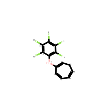 Fc1c(F)c(F)c(BC2=CCC=CC=C2)c(F)c1F